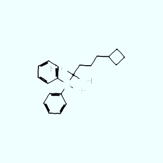 CC(C)(CCCC1CCC1)[Si](O)(c1ccccc1)c1ccccc1